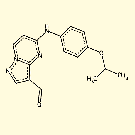 CC(C)Oc1ccc(Nc2ccn3ncc(C=O)c3n2)cc1